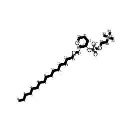 CCCCCCCCCCCCCCCCOC[C@@H]1OCCC[C@@H]1OP(=O)([O-])OCC[N+](C)(C)C